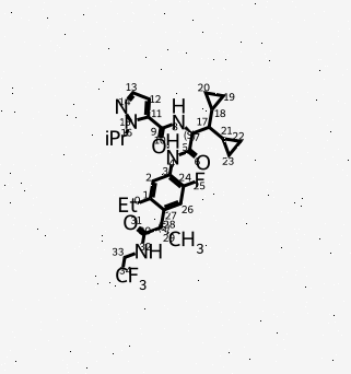 CCc1cc(NC(=O)[C@@H](NC(=O)c2ccnn2C(C)C)C(C2CC2)C2CC2)c(F)cc1[C@H](C)C(=O)NCC(F)(F)F